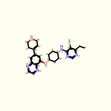 CCc1ncnc(N[C@H]2CC[C@@H](Oc3cc(C4=CCOCC4)cc4nccnc34)CC2)c1F